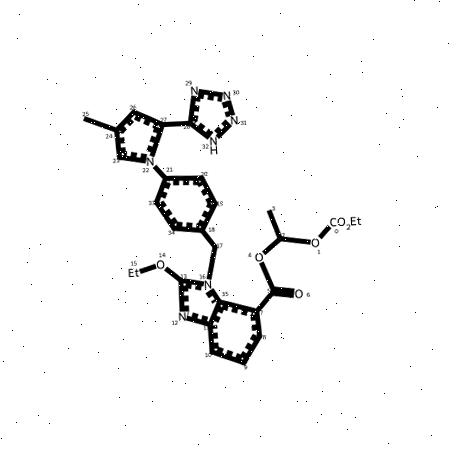 CCOC(=O)OC(C)OC(=O)c1cccc2nc(OCC)n(Cc3ccc(-n4cc(C)cc4-c4nnn[nH]4)cc3)c12